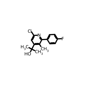 Cc1c(C(C)(C)O)cc(Cl)nc1-c1ccc(F)cc1